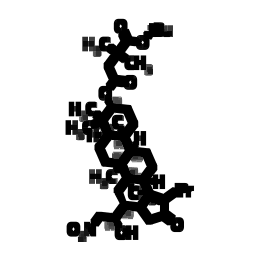 CC(C)C1=C2C(CC1=O)[C@@H]([C@@H](O)C[N+](=O)[O-])C[C@]1(C)[C@@H]2CC[C@@H]2[C@@]3(C)CC[C@H](OC(=O)CC(C)(C)C(=O)OC(C)(C)C)C(C)(C)[C@@H]3CC[C@]21C